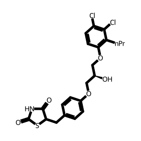 CCCc1c(OC[C@@H](O)COc2ccc(CC3SC(=O)NC3=O)cc2)ccc(Cl)c1Cl